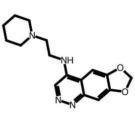 c1nnc2cc3c(cc2c1NCCN1CCCCC1)OCO3